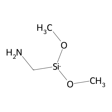 CO[Si](CN)OC